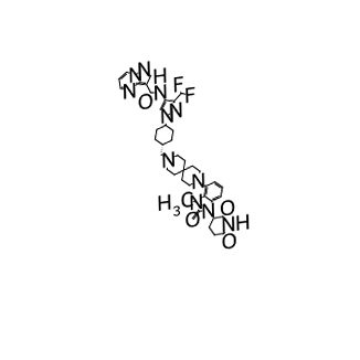 Cn1c(=O)n(C2CCC(=O)NC2=O)c2cccc(N3CCC4(CCN(C[C@H]5CC[C@H](n6cc(NC(=O)c7cnn8cccnc78)c(C(F)F)n6)CC5)CC4)CC3)c21